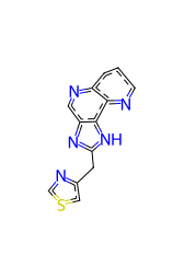 c1cnc2c(c1)ncc1nc(Cc3cscn3)[nH]c12